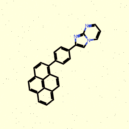 c1cc2ccc3ccc(-c4ccc(-c5cn6cccnc6n5)cc4)c4ccc(c1)c2c34